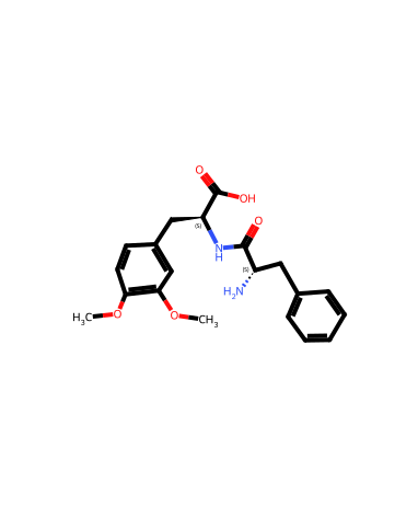 COc1ccc(C[C@H](NC(=O)[C@@H](N)Cc2ccccc2)C(=O)O)cc1OC